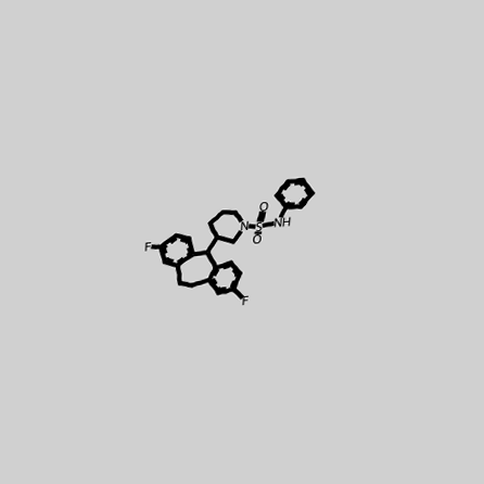 O=S(=O)(Nc1ccccc1)N1CCCC(C2c3ccc(F)cc3CCc3cc(F)ccc32)C1